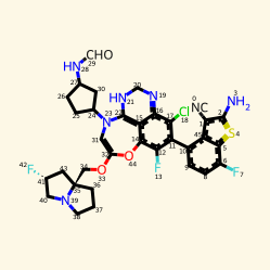 N#Cc1c(N)sc2c(F)ccc(-c3c(F)c4c5c(c3Cl)=NCNC=5N(C3CCC(NC=O)C3)C=C(OC[C@@]35CCCN3C[C@H](F)C5)O4)c12